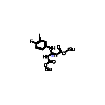 CC(C)(C)OC(=O)/N=C(/NC(=O)OC(C)(C)C)Nc1ccc(F)c(I)c1